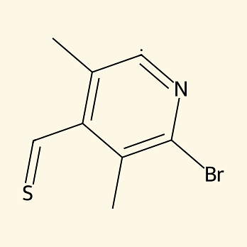 Cc1[c]nc(Br)c(C)c1C=S